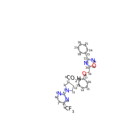 O=C(O)C1CN(c2nccc(C(F)(F)F)n2)C[C@H]1c1cccc(OCc2nc(-c3ccccc3)no2)c1